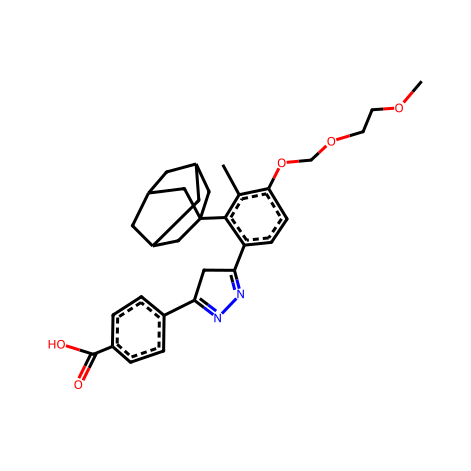 COCCOCOc1ccc(C2=NN=C(c3ccc(C(=O)O)cc3)C2)c(C23CC4CC(CC(C4)C2)C3)c1C